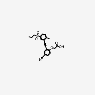 CCCS(=O)(=O)c1ccc(C)c(C#Cc2cc(C#N)ccc2OCC(=O)O)c1